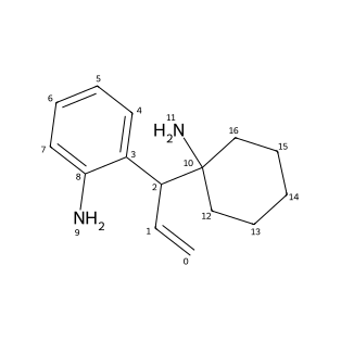 C=CC(c1ccccc1N)C1(N)CCCCC1